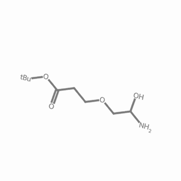 CC(C)(C)OC(=O)CCOCC(N)O